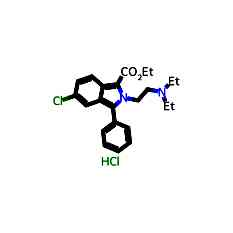 CCOC(=O)c1c2ccc(Cl)cc2c(-c2ccccc2)n1CCN(CC)CC.Cl